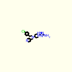 Nc1n[nH]c(N2CCC(N(CCc3ccc(Cl)cc3)Cc3ccncc3)CC2)n1